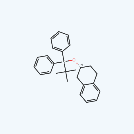 CC(C)(C)[Si](O[C@@H]1CCc2ccccc2C1)(c1ccccc1)c1ccccc1